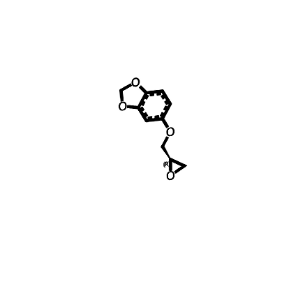 c1cc2c(cc1OC[C@H]1CO1)OCO2